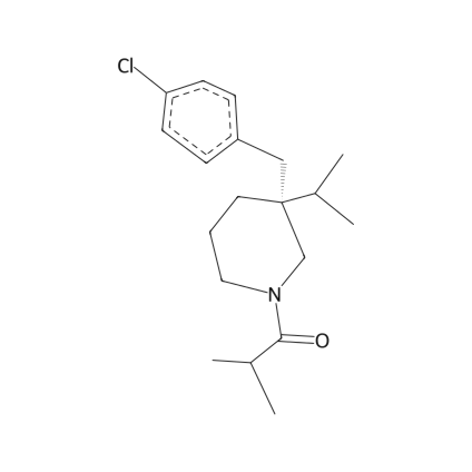 CC(C)C(=O)N1CCC[C@@](Cc2ccc(Cl)cc2)(C(C)C)C1